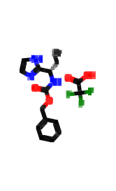 CC(C)C[C@H](NC(=O)OCc1ccccc1)c1ncc[nH]1.O=C(O)C(F)(F)F